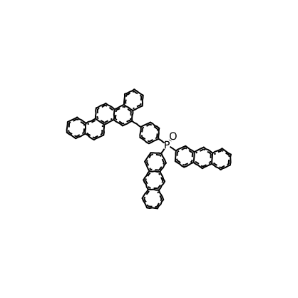 O=P(c1ccc(-c2cc3c(ccc4c5ccccc5ccc43)c3ccccc23)cc1)(c1ccc2cc3ccccc3cc2c1)c1ccc2cc3ccccc3cc2c1